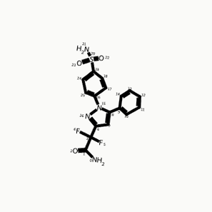 NC(=O)C(F)(F)c1cc(-c2ccccc2)n(-c2ccc(S(N)(=O)=O)cc2)n1